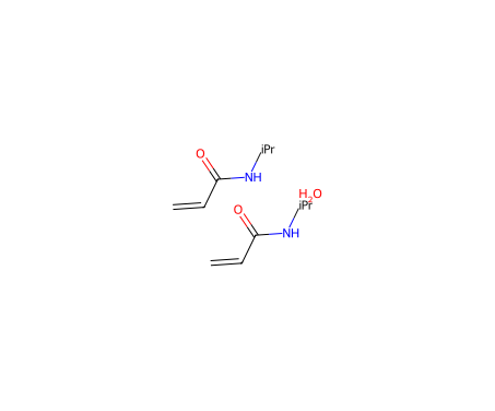 C=CC(=O)NC(C)C.C=CC(=O)NC(C)C.O